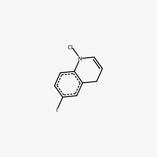 ClN1C=CCc2cc(I)ccc21